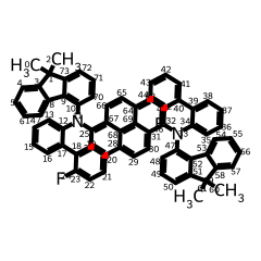 CC1(C)c2ccccc2-c2c(N(c3ccccc3-c3ccccc3F)c3ccc4ccc5c(N(c6ccccc6-c6ccccc6F)c6cccc7c6-c6ccccc6C7(C)C)ccc6ccc3c4c65)cccc21